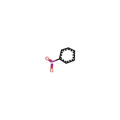 O=I(=O)c1ccccc1